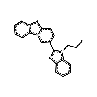 FCCn1c(-c2ccc3nc4ccccc4n3c2)nc2ccccc21